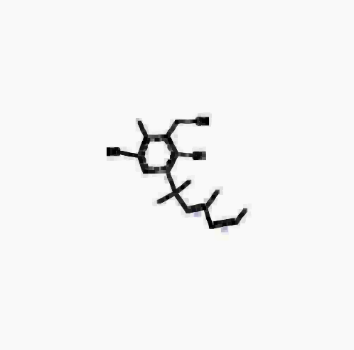 C/C=C\C(C)=C\C(C)(C)c1cc(O)c(C)c(CO)c1O